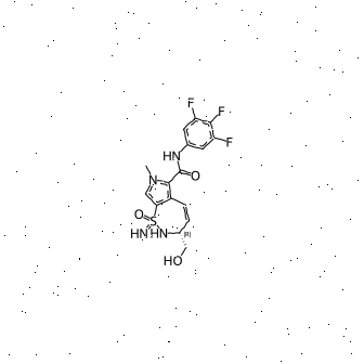 Cn1cc2c(c1C(=O)Nc1cc(F)c(F)c(F)c1)C=C[C@H](CO)NS2(=N)=O